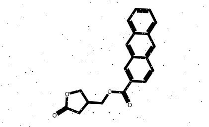 O=C1CC(COC(=O)c2ccc3cc4ccccc4cc3c2)CO1